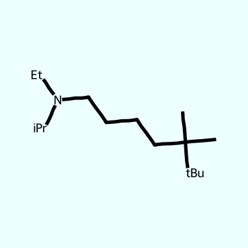 CCN(CCCCC(C)(C)C(C)(C)C)C(C)C